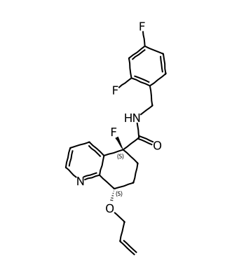 C=CCO[C@H]1CC[C@@](F)(C(=O)NCc2ccc(F)cc2F)c2cccnc21